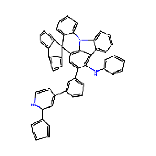 C1=CC(c2cccc(-c3cc4c5c(c3Nc3ccccc3)c3ccccc3n5-c3ccccc3C43c4ccccc4-c4ccccc43)c2)=CC(c2ccccc2)N1